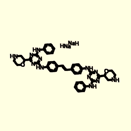 C(=Cc1ccc(Nc2nc(Nc3ccccc3)nc(C3CNCCO3)n2)cc1)c1ccc(Nc2nc(Nc3ccccc3)nc(C3CNCCO3)n2)cc1.[NaH].[NaH]